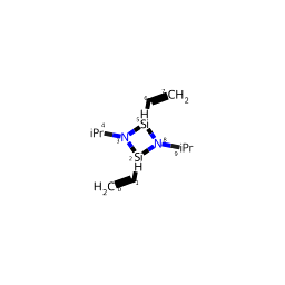 C=C[SiH]1N(C(C)C)[SiH](C=C)N1C(C)C